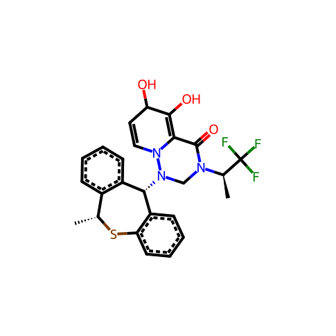 C[C@H]1Sc2ccccc2[C@@H](N2CN([C@H](C)C(F)(F)F)C(=O)C3=C(O)C(O)C=CN32)c2ccccc21